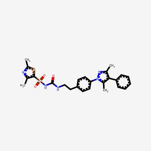 Cc1nc(C)c(S(=O)(=O)NC(=O)NCCc2ccc(-n3nc(C)c(-c4ccccc4)c3C)cc2)s1